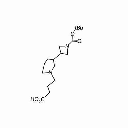 CC(C)(C)OC(=O)N1CC(C2CCCN(CCCC(=O)O)C2)C1